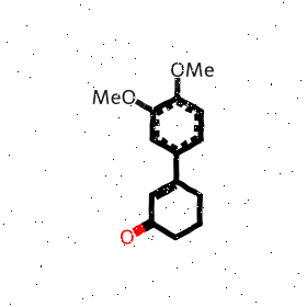 COc1ccc(C2=CC(=O)CCC2)cc1OC